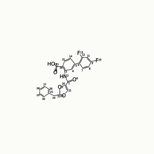 O=C(Nc1cc(-c2ccc(F)cc2F)ccc1C(=O)O)C1=COC(Cc2ccccc2)O1